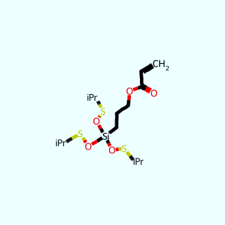 C=CC(=O)OCCC[Si](OSC(C)C)(OSC(C)C)OSC(C)C